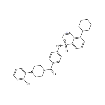 C/C=N\c1c(C2CCCCC2)cccc1S(=O)(=O)Nc1ccc(C(=O)N2CCN(c3ccccc3CC)CC2)cc1